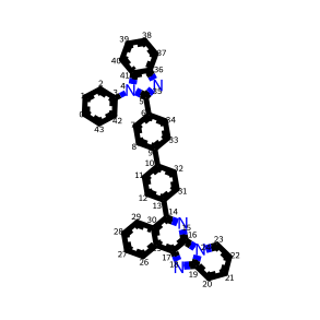 c1ccc(-n2c(-c3ccc(-c4ccc(-c5nc6c(nc7ccccn76)c6ccccc56)cc4)cc3)nc3ccccc32)cc1